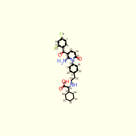 Nc1c(C(=O)c2ccc(F)cc2F)ccc(=O)n1-c1ccc(CCN[C@H](C(=O)O)C2CCCCC2)cc1